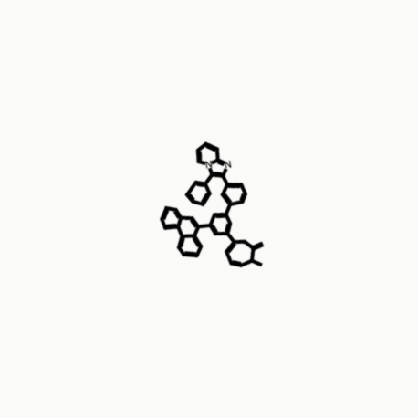 C=C1CC(c2cc(-c3cccc(-c4nc5ccccn5c4-c4ccccc4)c3)cc(-c3cc4ccccc4c4ccccc34)c2)=CC=CC1C